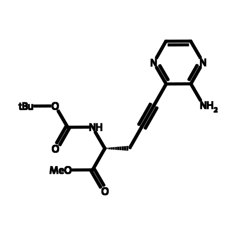 COC(=O)[C@@H](CC#Cc1nccnc1N)NC(=O)OC(C)(C)C